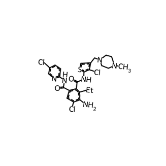 CCc1c(N)c(Cl)cc(C(=O)Nc2ccc(Cl)cn2)c1C(=O)Nc1scc(CN2CCN(C)CC2)c1Cl